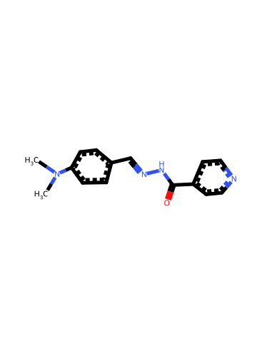 CN(C)c1ccc(C=NNC(=O)c2ccncc2)cc1